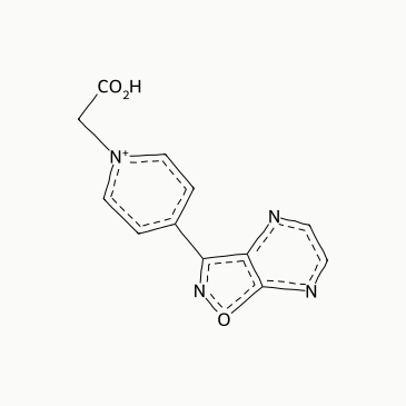 O=C(O)C[n+]1ccc(-c2noc3nccnc23)cc1